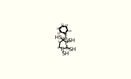 SC1P(S)CCC(S)(Sc2ccccc2)P1S